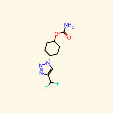 NC(=O)O[C@H]1CC[C@H](n2cc(C(F)F)nn2)CC1